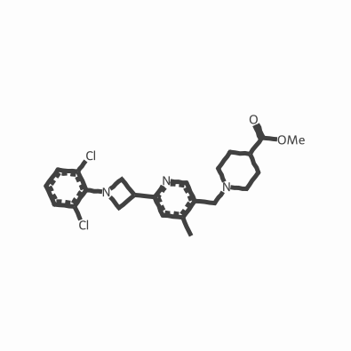 COC(=O)C1CCN(Cc2cnc(C3CN(c4c(Cl)cccc4Cl)C3)cc2C)CC1